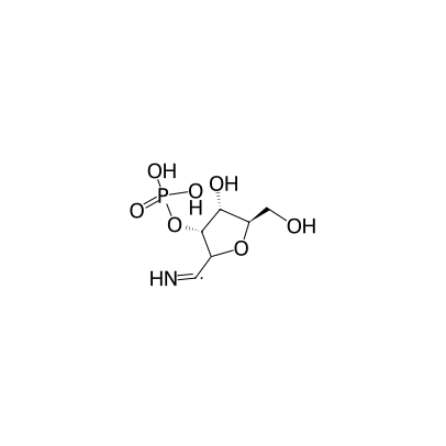 N=[C]C1O[C@H](CO)[C@@H](O)[C@H]1OP(=O)(O)O